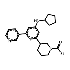 CCC(=O)N1CCCC(c2nc(NC3CCCC3)cc(-c3cccnc3)n2)C1